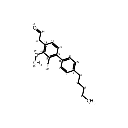 CCCCCc1ccc(-c2ccc(CC=O)c(OC)c2F)cc1